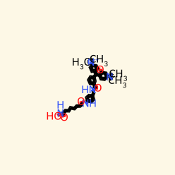 CN(C)c1ccc2c(-c3cccc(C(=O)NCc4ccc(NC(=O)CCCCCCC(=O)NO)cc4)c3)c3ccc(=[N+](C)C)cc-3oc2c1